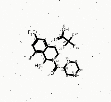 CC1c2c(F)cc(C(F)(F)F)cc2CCN1C(=O)[C@H]1CNCCO1.O=C(O)C(F)(F)F